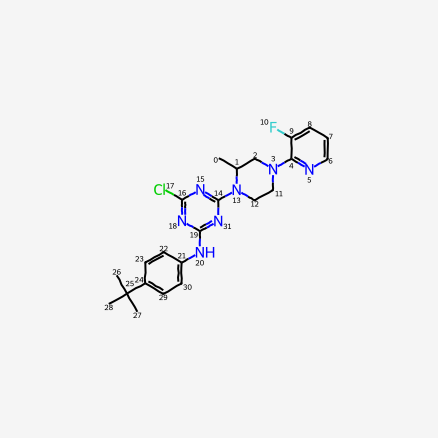 CC1CN(c2ncccc2F)CCN1c1nc(Cl)nc(Nc2ccc(C(C)(C)C)cc2)n1